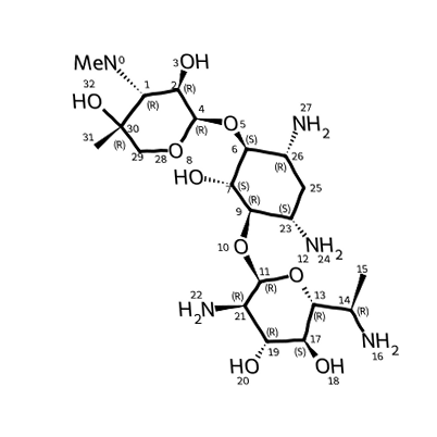 CN[C@@H]1[C@@H](O)[C@@H](O[C@@H]2[C@@H](O)[C@H](O[C@H]3O[C@H]([C@@H](C)N)[C@@H](O)[C@H](O)[C@H]3N)[C@@H](N)C[C@H]2N)OC[C@]1(C)O